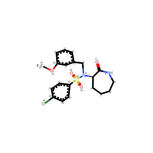 O=C1NCCCC[C@H]1N(Cc1cccc(OC(F)(F)F)c1)S(=O)(=O)c1ccc(Cl)cc1